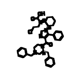 O=C(c1ncn([C@H]2CCCC[C@@H]2N(CCCl)C(=O)O)c1-c1ccccc1)N1CCN(Cc2ccccc2)C[C@H]1Cc1ccccc1